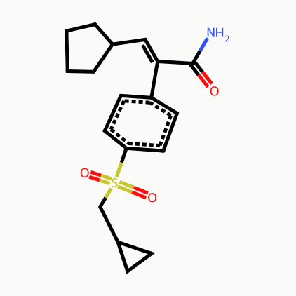 NC(=O)/C(=C/C1CCCC1)c1ccc(S(=O)(=O)CC2CC2)cc1